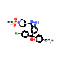 O=C(O)c1ccc(C(O)(c2ccc(Cl)cc2)c2ccc3[nH]nc(C4CCN(S(=O)(=O)C(F)(F)F)CC4)c3c2)cc1